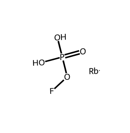 O=P(O)(O)OF.[Rb]